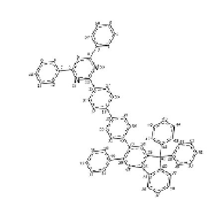 c1ccc(-c2cc(-c3ccccc3)nc(-c3ccc(-c4ccc(-c5cc6c(cc5-c5ccccc5)-c5ccccc5C6(c5ccccc5)c5ccccc5)cc4)cc3)n2)cc1